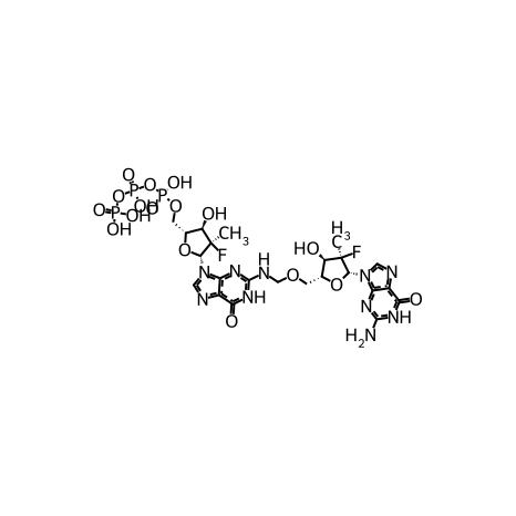 C[C@@]1(F)[C@H](O)[C@@H](COCNc2nc3c(ncn3[C@@H]3O[C@H](COP(=O)(O)OP(=O)(O)OP(=O)(O)O)[C@@H](O)[C@@]3(C)F)c(=O)[nH]2)O[C@H]1n1cnc2c(=O)[nH]c(N)nc21